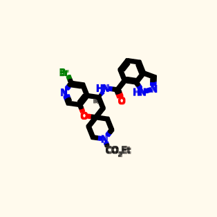 CCOC(=O)N1CCC2(CC1)C[C@H](NC(=O)c1cccc3cn[nH]c13)c1cc(Br)ncc1O2